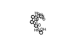 COc1cc(C(=O)Nc2cccc(-c3cccc(-c4ccc(CN[C@@H]5CCCC[C@@H]5O)c(OC)n4)c3Cl)c2Cl)c(=O)n(C)n1